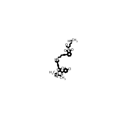 CNCCCC(C=O)N1C(=O)c2cccc(C#CCCCn3cc(C#Cc4sc5c(c4C)C(c4ccc(Cl)cc4)=N[C@@H](C)c4nnc(C)n4-5)cn3)c2C1=O